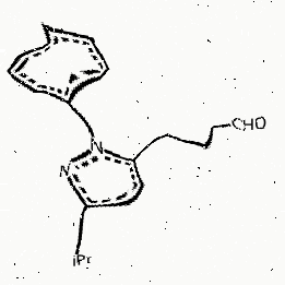 CC(C)c1cc(CCC=O)n(-c2ccccc2)n1